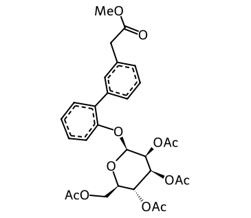 COC(=O)Cc1cccc(-c2ccccc2O[C@@H]2O[C@H](COC(C)=O)[C@@H](OC(C)=O)[C@H](OC(C)=O)[C@@H]2OC(C)=O)c1